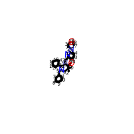 CC1(C)CN(Cc2ccccc2)C(c2ccccc2)/C(=C/c2cccc(N3CCOCC3)n2)C1=O